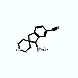 Cl.N#Cc1ccc2c(c1)C(N)C1(CCNCC1)C2